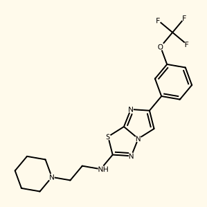 FC(F)(F)Oc1cccc(-c2cn3nc(NCCN4CCCCC4)sc3n2)c1